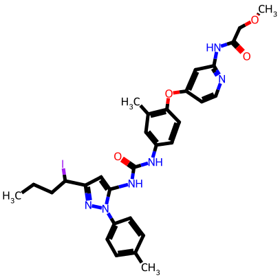 CCCC(I)c1cc(NC(=O)Nc2ccc(Oc3ccnc(NC(=O)COC)c3)c(C)c2)n(-c2ccc(C)cc2)n1